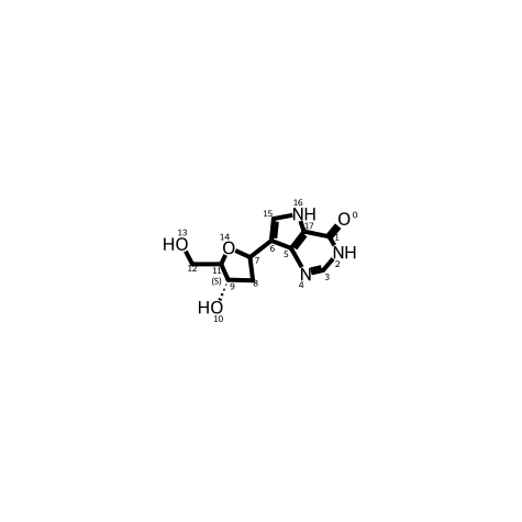 O=c1[nH]cnc2c(C3C[C@H](O)C(CO)O3)c[nH]c12